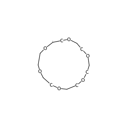 [CH]1COCCOCCOCCOCCOCCO1